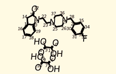 O=C(O)C(=O)O.O=C(O)C(=O)O.O=C1Cc2ccccc2N1CCN1CCN(Cc2ccc(F)cc2)CC1